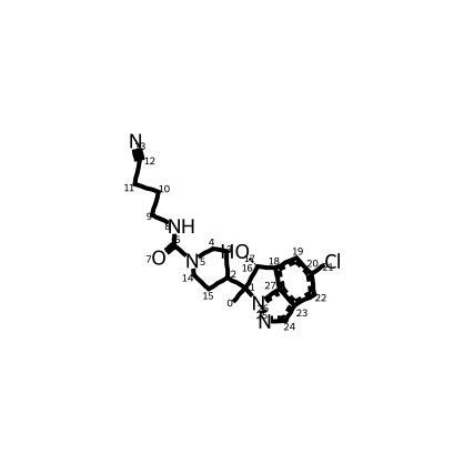 CC1(C2CCN(C(=O)NCCCC#N)CC2)[C@H](O)c2cc(Cl)cc3cnn1c23